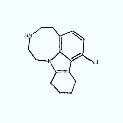 Clc1ccc2c3c1c1c(n3CCNCC2)CCCC1